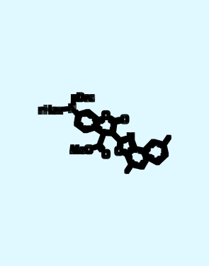 CCCCCCCCCCN(CCCCCC)c1ccc2c(C(=O)OC)c(-c3nc4c(o3)c(C)cc3ccc(C)cc34)c(=O)oc2c1